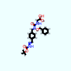 CC(C)(C)OC(=O)NN=Cc1ccc(CN(OCc2ccccc2)C(=O)NCC(=O)O)cc1